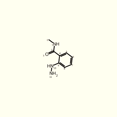 CNC(=O)c1ccccc1NN